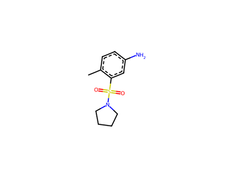 Cc1ccc(N)cc1S(=O)(=O)N1CCCC1